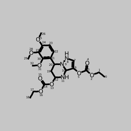 CCOC(=O)OC1=CNN2C1NC(OC(=O)OCC)CC2c1ccc(OC)c(OC)c1OC